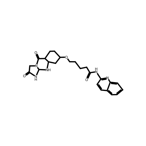 O=C(CCCCOC1CCC2C(=O)N3CC(=O)NC3NC2C1)Nc1ccc2ccccc2n1